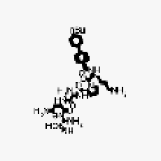 CCCCc1ccc(-c2ccc(C(=O)N[C@@H](CCCCN)C(=O)N3CCC[C@H]3C(=O)N[C@@H](N)C(=O)NC(CC(N)=O)C(=O)N[C@@H](N)B(O)O)cc2)cc1